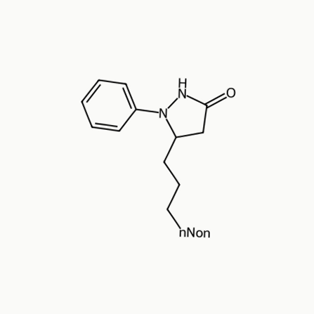 CCCCCCCCCCCCC1CC(=O)NN1c1ccccc1